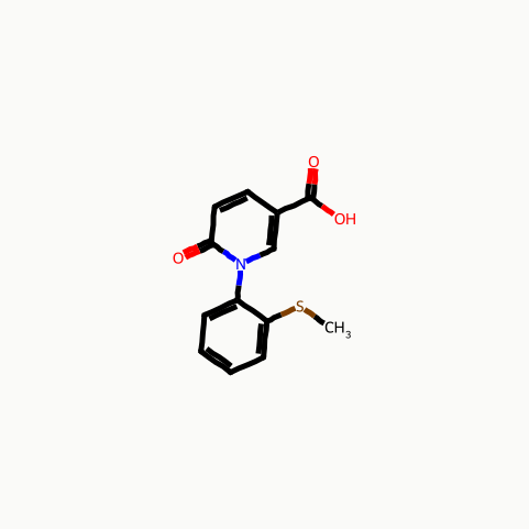 CSc1ccccc1-n1cc(C(=O)O)ccc1=O